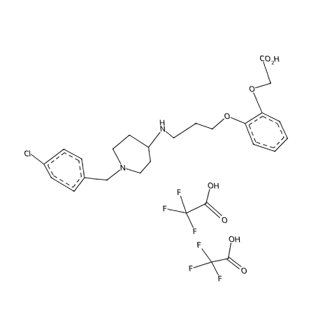 O=C(O)C(F)(F)F.O=C(O)C(F)(F)F.O=C(O)COc1ccccc1OCCCNC1CCN(Cc2ccc(Cl)cc2)CC1